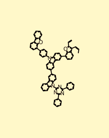 C=Cc1oc2c(-c3ccc4c(c3)c3cc(-c5ccc6c(c5)c5ccccc5n6-c5nc(-c6ccccc6)nc(-c6ccccc6)n5)ccc3n4-c3ccc(-c4cccc5c4oc4ccccc45)cc3)cccc2c1/C=C\C